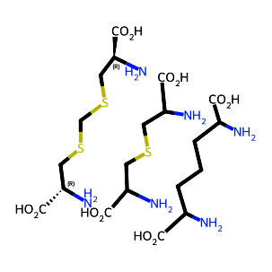 NC(CCCC(N)C(=O)O)C(=O)O.NC(CSCC(N)C(=O)O)C(=O)O.N[C@@H](CSCSC[C@H](N)C(=O)O)C(=O)O